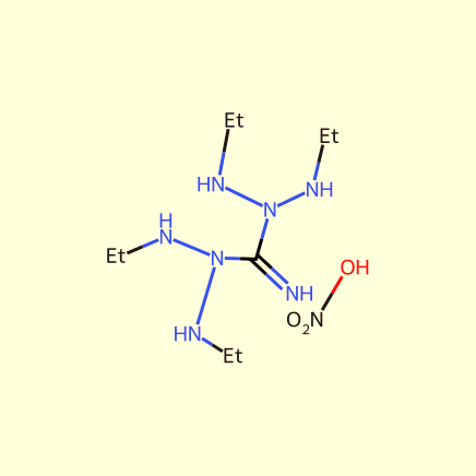 CCNN(NCC)C(=N)N(NCC)NCC.O=[N+]([O-])O